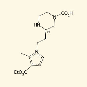 CCOC(=O)c1ccn(CC[C@@H]2CN(C(=O)O)CCN2)c1C